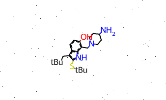 CC(C)(C)Cc1c(SC(C)(C)C)[nH]c2c(CN3CCC(N)CC3)c(O)ccc12